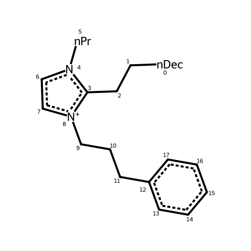 CCCCCCCCCCCCc1n(CCC)cc[n+]1CCCc1ccccc1